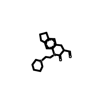 O=CC1Cc2cc3c(cc2N(CCN2CCCCC2)C1=O)CCC3